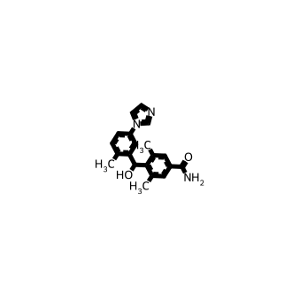 Cc1ccc(-n2ccnc2)cc1C(O)c1c(C)cc(C(N)=O)cc1C